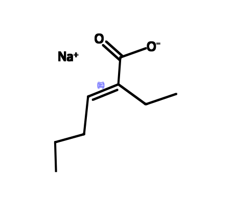 CCC/C=C(\CC)C(=O)[O-].[Na+]